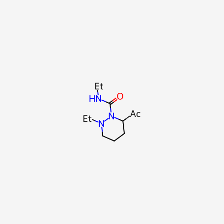 CCNC(=O)N1C(C(C)=O)CCCN1CC